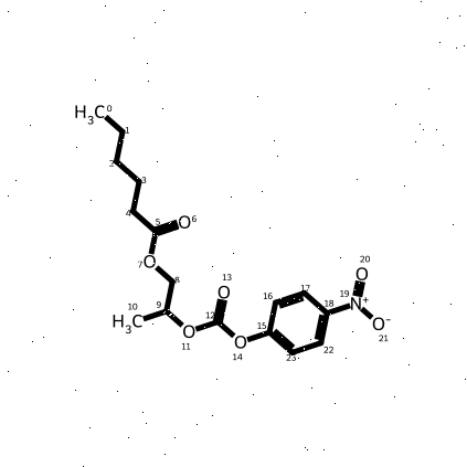 CCCCCC(=O)OCC(C)OC(=O)Oc1ccc([N+](=O)[O-])cc1